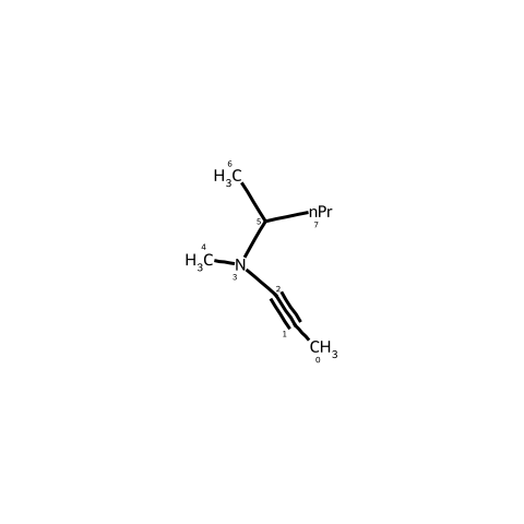 CC#CN(C)C(C)CCC